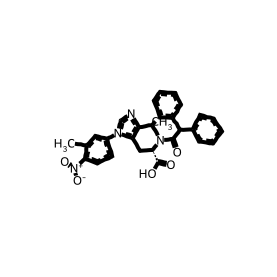 Cc1cc(-n2cnc3c2C[C@@H](C(=O)O)N(C(=O)C(c2ccccc2)c2ccccc2)C3C)ccc1[N+](=O)[O-]